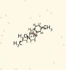 C=CC[N@@+]1(C)CC[C@]23CCCCC2C1Cc1ccc(C)cc13